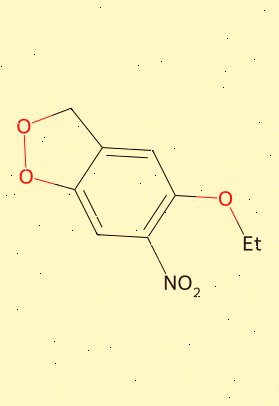 CCOc1cc2c(cc1[N+](=O)[O-])OOC2